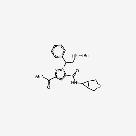 CNC(=O)c1cc(C(=O)NC2C3COCC32)n(C(CPC(C)(C)C)c2ccccc2)n1